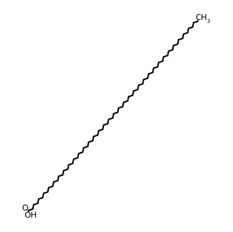 CCCCCCCCCCCCCCCCCCCCCCCCCCCCCCCCCCCCCCCCCCCCCCCCCCCCCCCCCCCCCCCCCCCCC(=O)O